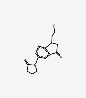 O=C1CC(CCO)c2ccc(N3CCCC3=O)cc21